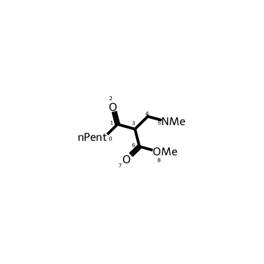 CCCCCC(=O)C(CNC)C(=O)OC